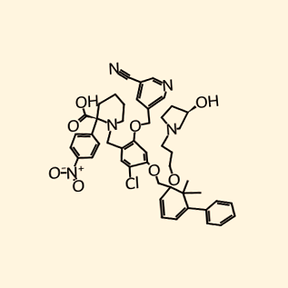 CC1(C)C(c2ccccc2)=CC=CC1(COc1cc(OCc2cncc(C#N)c2)c(CN2CCCC[C@@]2(C(=O)O)c2ccc([N+](=O)[O-])cc2)cc1Cl)OCCCN1CC[C@@H](O)C1